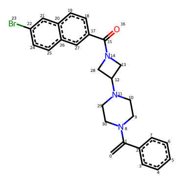 C=C(c1ccccc1)N1CCN(C2CN(C(=O)c3ccc4cc(Br)ccc4c3)C2)CC1